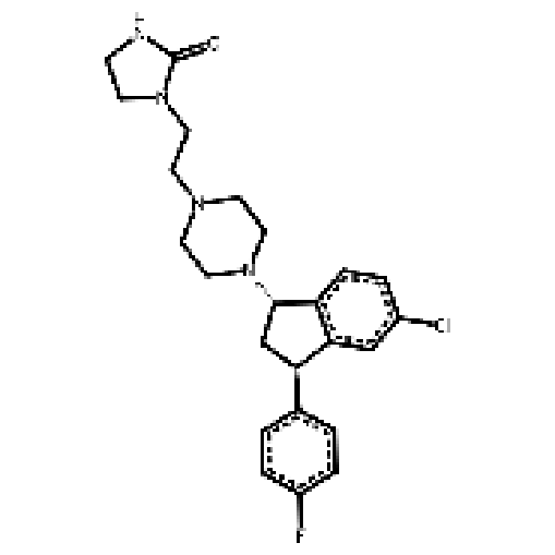 O=C1NCCN1CCN1CCN([C@H]2C[C@H](c3ccc(F)cc3)c3cc(Cl)ccc32)CC1